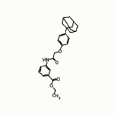 CCOC(=O)c1cccc(NC(=O)COc2ccc(C34CC5CC(CC(C5)C3)C4)cc2)c1